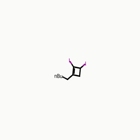 CCCCCC1=C(I)C(I)C1